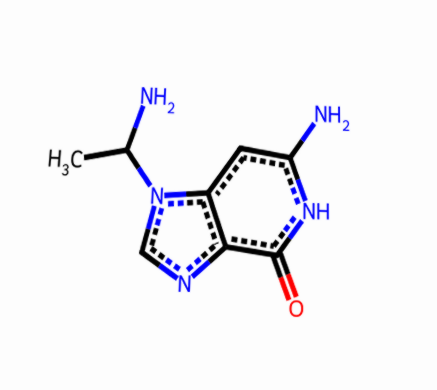 CC(N)n1cnc2c(=O)[nH]c(N)cc21